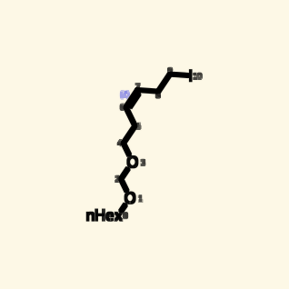 CCCCCCOCOCC/C=C\CCI